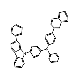 c1ccc(-c2ccc3c4ccccc4n(-c4ccc(N(c5ccccc5)c5ccc(-c6ccc7ccccc7c6)cc5)cc4)c3c2)cc1